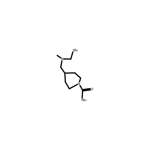 CN(CC1CCN(C(=O)C(C)(C)C)CC1)CC(C)(C)C